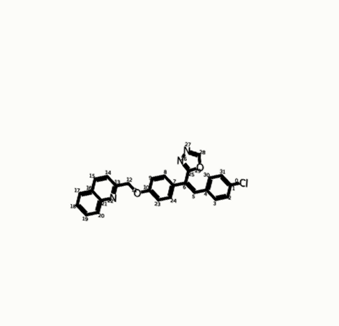 Clc1ccc(/C=C(/c2ccc(OCc3ccc4ccccc4n3)cc2)c2nnco2)cc1